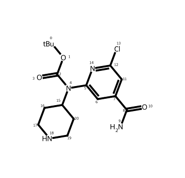 CC(C)(C)OC(=O)N(c1cc(C(N)=O)cc(Cl)n1)C1CCNCC1